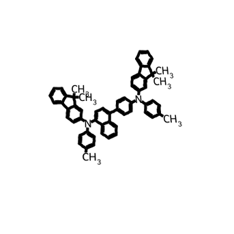 Cc1ccc(N(c2ccc(-c3ccc(N(c4ccc(C)cc4)c4ccc5c(c4)C(C)(C)c4ccccc4-5)c4ccccc34)cc2)c2ccc3c(c2)C(C)(C)c2ccccc2-3)cc1